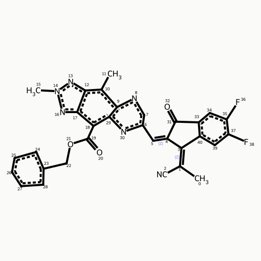 C/C(C#N)=C1/C(=C/c2cnc3c(C)c4nn(C)nc4c(C(=O)OCc4ccccc4)c3n2)C(=O)c2cc(F)c(F)cc21